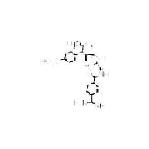 C[C@H](NC(=O)c1ccc(C(=N)N)cc1)C(=O)N[C@@H](CC(=O)O)C(=O)C(CN)c1ccc(C(=O)O)cc1